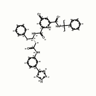 CC(C)(NC(=O)c1cc(=O)cc(C(=O)N[C@H](CC(=O)Nc2cccc(-c3nn[nH]n3)c2)Cc2ccccc2)[nH]1)c1ccccc1